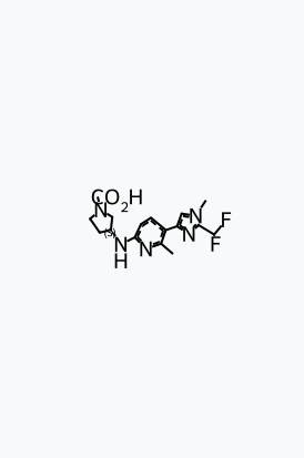 Cc1nc(N[C@H]2CCN(C(=O)O)C2)ccc1-c1cn(C)c(C(F)F)n1